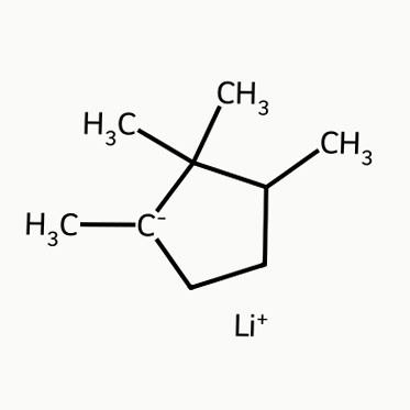 C[C-]1CCC(C)C1(C)C.[Li+]